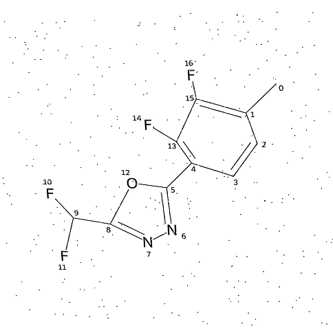 Cc1ccc(-c2nnc(C(F)F)o2)c(F)c1F